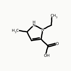 CCN1NC(C)C=C1C(=O)O